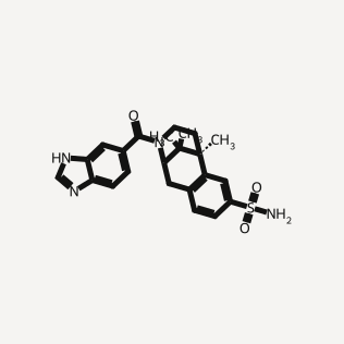 CC1(C)C2Cc3ccc(S(N)(=O)=O)cc3[C@]1(C)CCN2C(=O)c1ccc2nc[nH]c2c1